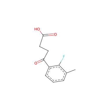 Cc1cccc(C(=O)CCC(=O)O)c1F